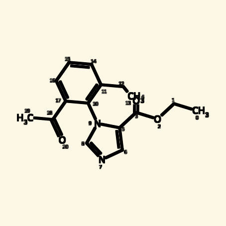 CCOC(=O)c1cncn1-c1c(CC)cccc1C(C)=O